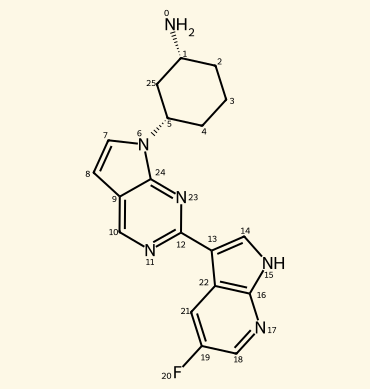 N[C@@H]1CCC[C@H](n2ccc3cnc(-c4c[nH]c5ncc(F)cc45)nc32)C1